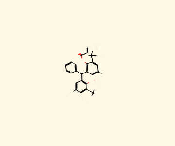 C=CC(=O)Oc1c(C(c2ccccc2)c2cc(C)cc(C(C)(C)C)c2O)cc(C)cc1C(C)(C)C